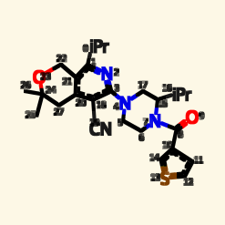 CC(C)c1nc(N2CCN(C(=O)c3ccsc3)C(C(C)C)C2)c(C#N)c2c1COC(C)(C)C2